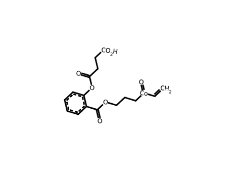 C=[CH][Co](=[O])[CH2]CCOC(=O)c1ccccc1OC(=O)CCC(=O)O